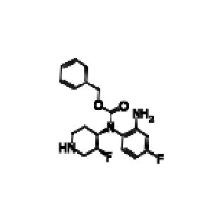 Nc1cc(F)ccc1N(C(=O)OCc1ccccc1)[C@@H]1CCNC[C@@H]1F